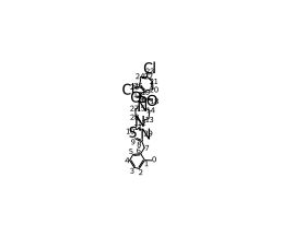 Cc1ccccc1Cc1csc(N2CCN(S(=O)(=O)c3ccc(Cl)cc3Cl)CC2)n1